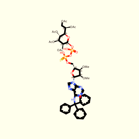 CO[C@@H]1[C@H](OC)[C@@H](COP(O)(=S)OP(=O)(O)O[C@@H]2O[C@H]([C@@H](COC(C)=O)OC(C)=O)[C@@H](OC(C)=O)[C@H](OC(C)=O)[C@@H]2OC(C)=O)O[C@H]1n1cnc2c(NC(c3ccccc3)(c3ccccc3)c3ccccc3)ncnc21